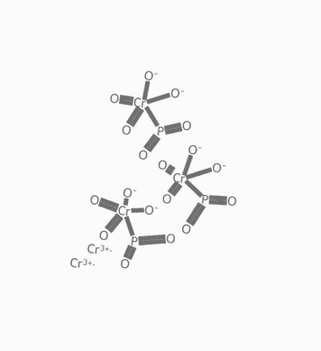 O=[P](=O)[Cr](=[O])(=[O])([O-])[O-].O=[P](=O)[Cr](=[O])(=[O])([O-])[O-].O=[P](=O)[Cr](=[O])(=[O])([O-])[O-].[Cr+3].[Cr+3]